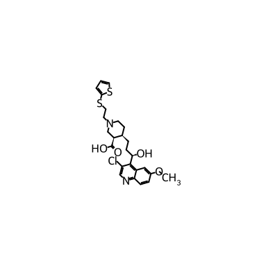 COc1ccc2ncc(Cl)c([C@H](O)CC[C@@H]3CCN(CCSc4cccs4)C[C@@H]3C(=O)O)c2c1